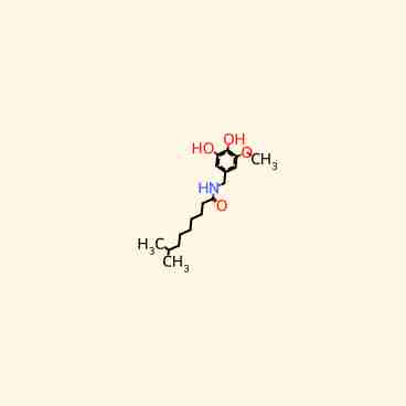 COc1cc(CNC(=O)CCCCCCC(C)C)cc(O)c1O